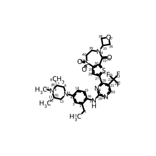 CCc1cc(N2C[C@@H](C)N(C)[C@@H](C)C2)ccc1Nc1ncc(C(F)(F)F)c(-c2cc3c(s2)C(=O)N(C2COC2)CCS3(=O)=O)n1